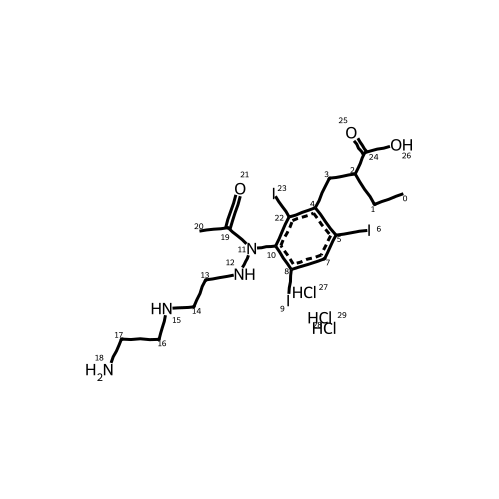 CCC(Cc1c(I)cc(I)c(N(NCCNCCN)C(C)=O)c1I)C(=O)O.Cl.Cl.Cl